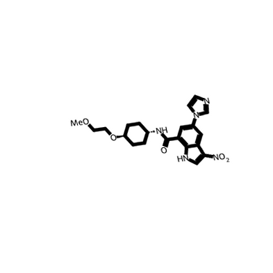 COCCO[C@H]1CC[C@H](NC(=O)c2cc(-n3ccnc3)cc3c([N+](=O)[O-])c[nH]c23)CC1